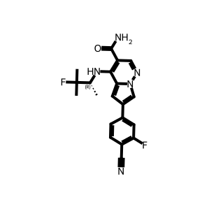 C[C@@H](Nc1c(C(N)=O)cnn2cc(-c3ccc(C#N)c(F)c3)cc12)C(C)(C)F